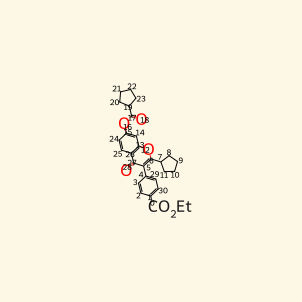 CCOC(=O)c1ccc(-c2c(C3CCCC3)oc3cc(OC(=O)C4CCCC4)ccc3c2=O)cc1